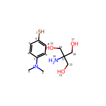 CN(C)c1ccc(S)cc1.NC(CO)(CO)CO